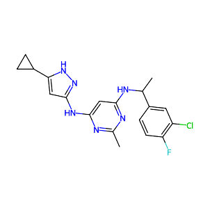 Cc1nc(Nc2cc(C3CC3)[nH]n2)cc(NC(C)c2ccc(F)c(Cl)c2)n1